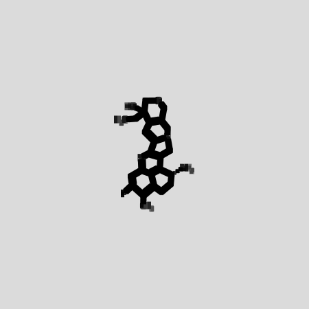 CC[C@]1(O)COCC2=C1C=C1c3nc4cc(F)c(C)c5c4c(c3CN1C2)[C@H](N)CC5